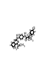 CN(C)c1nc(N[C@H]2CC[C@@H](NC(=O)C(C)(C)Oc3ccc(Cl)cc3)CC2)nc2ccccc12